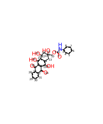 O=C(Nc1ccccc1)OC[C@]1(O)Cc2c(O)c3c(c(O)c2[C@@H](O)C1)C(=O)c1ccccc1C3=O